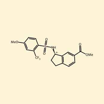 COC(=O)c1ccc2c(c1)[C@H](NS(=O)(=O)c1ccc(OC)cc1C(F)(F)F)CC2